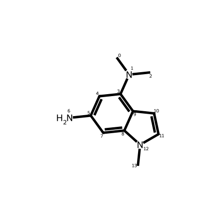 CN(C)c1cc(N)cc2c1ccn2C